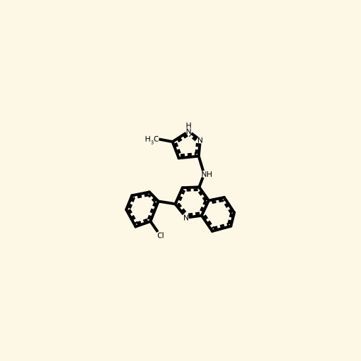 Cc1cc(Nc2cc(-c3ccccc3Cl)nc3ccccc23)n[nH]1